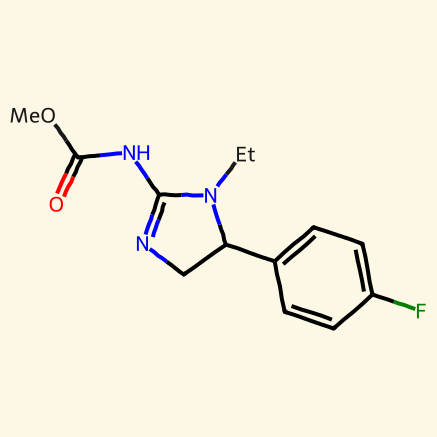 CCN1C(NC(=O)OC)=NCC1c1ccc(F)cc1